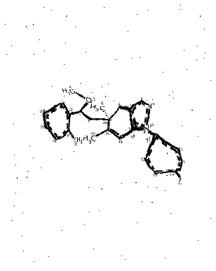 COC(C[C@@]1(C)Cc2cnn(-c3ccc(F)cc3)c2C=C1C)c1ccccc1C